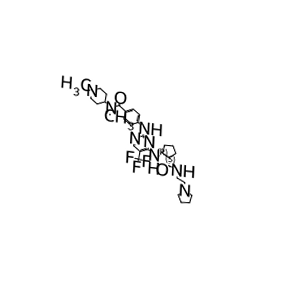 CN1CCC(N(C)C(=O)c2ccc(Nc3ncc(C(F)(F)F)c(N[C@@H]4CCC[C@@H]4C(=O)NCCN4CCCC4)n3)cc2)CC1